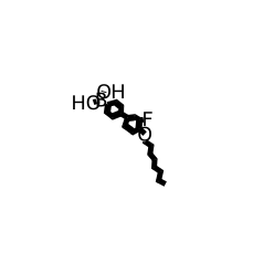 CCCCCCCCOc1ccc(-c2ccc(B(O)O)cc2)cc1F